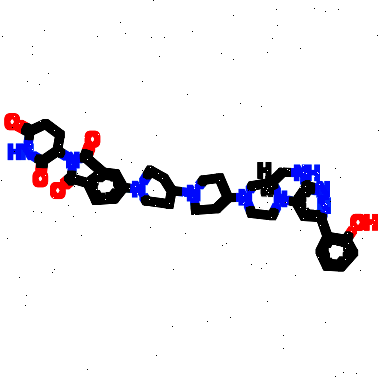 O=C1CCC(N2C(=O)c3ccc(N4CCC(N5CCC(N6CCN7c8cc(-c9ccccc9O)nnc8NC[C@H]7C6)CC5)CC4)cc3C2=O)C(=O)N1